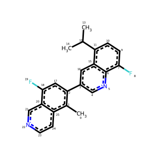 Cc1c(-c2cnc3c(F)ccc(C(C)C)c3c2)cc(F)c2cnccc12